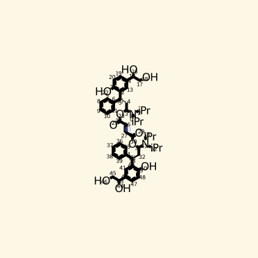 CC(C)N(C(C)C)C(C[C@H](c1ccccc1)c1cc(C(O)CO)ccc1O)OC(=O)/C=C/C(=O)OC(C[C@H](c1ccccc1)c1cc(C(O)CO)ccc1O)N(C(C)C)C(C)C